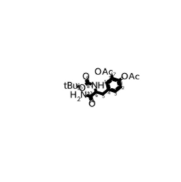 CC(=O)Oc1ccc(CC(NC(=O)OC(C)(C)C)C(N)=O)cc1OC(C)=O